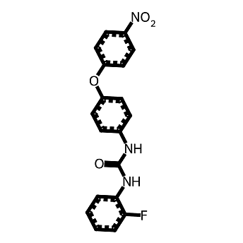 O=C(Nc1ccc(Oc2ccc([N+](=O)[O-])cc2)cc1)Nc1ccccc1F